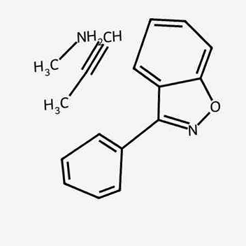 C#CC.CN.c1ccc(-c2noc3ccccc23)cc1